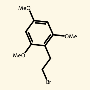 COc1cc(OC)c([CH]CBr)c(OC)c1